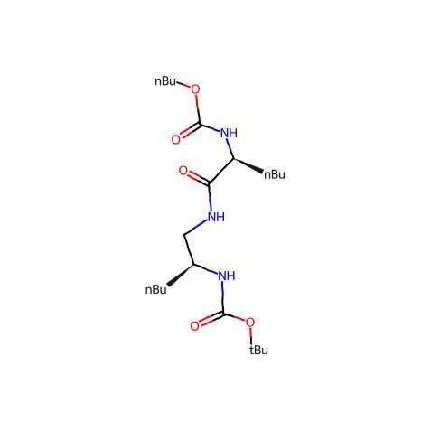 CCCCOC(=O)N[C@@H](CCCC)C(=O)NC[C@H](CCCC)NC(=O)OC(C)(C)C